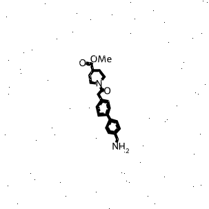 COC(=O)C1CCN(C(=O)Cc2ccc(-c3ccc(CN)cc3)cc2)CC1